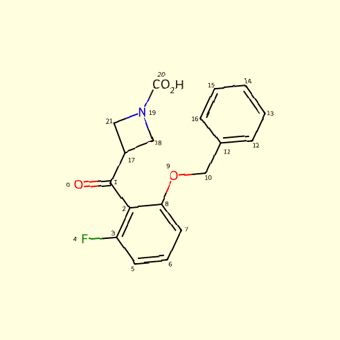 O=C(c1c(F)cccc1OCc1ccccc1)C1CN(C(=O)O)C1